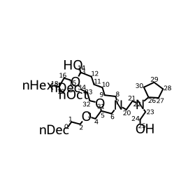 CCCCCCCCCCCCOCC(CN(CCCCCC(O)OCC(CCCCCC)CCCCCCCC)CCN(CCO)C1CCCC1)OCCCCCCCCCCCC